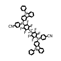 [C-]#[N+]c1ccc(N(c2ccc3c(c2)c2ccccc2n3-c2ccccc2)c2c(F)c(F)c([Si](C)(C)c3c(F)c(F)c(N(c4ccc(C#N)cc4)c4ccc5c(c4)c4ccccc4n5-c4ccccc4)c(F)c3F)c(F)c2F)cc1